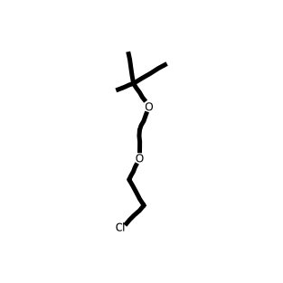 CC(C)(C)OCOCCCl